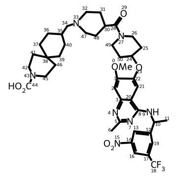 COc1cc2nc(C)nc(NC(C)c3cc([N+](=O)[O-])cc(C(F)(F)F)c3)c2cc1OC1CCN(C(=O)C2CCN(CC3CCC4(CC3)CCN(C(=O)O)CC4)CC2)CC1